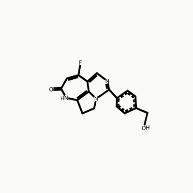 O=C1C=C(F)C2=CN=C(c3ccc(CO)cc3)N3CCC(=C23)N1